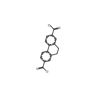 O=C(Cl)c1ccc2c(c1)CCc1cc(C(=O)Cl)ccc1-2